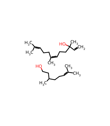 C=CC(C)(O)CCC=C(C)CCC=C(C)C.CC(C)=CCCC(C)CCO